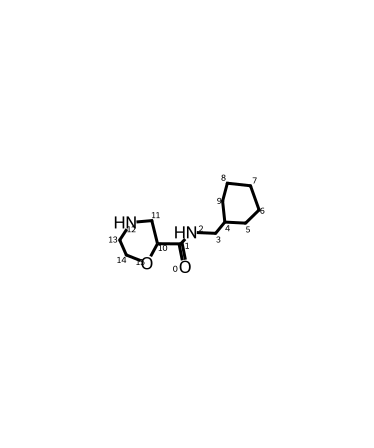 O=C(NCC1CCCCC1)C1CNCCO1